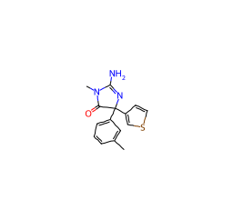 Cc1cccc(C2(c3ccsc3)N=C(N)N(C)C2=O)c1